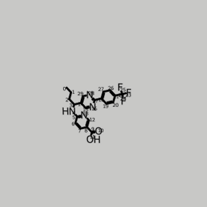 CCCC(Nc1ccc(C(=O)O)cn1)c1cnc(-c2ccc(C(F)(F)F)cc2)nc1